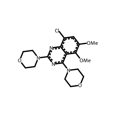 COc1cc(Cl)c2nc(N3CCOCC3)nc(N3CCOCC3)c2c1OC